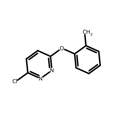 Cc1ccccc1Oc1ccc(Cl)nn1